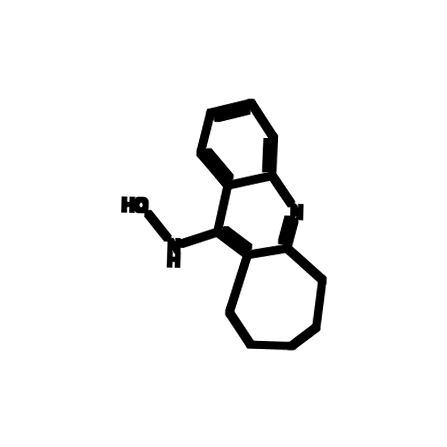 ONc1c2c(nc3ccccc13)CCCCC2